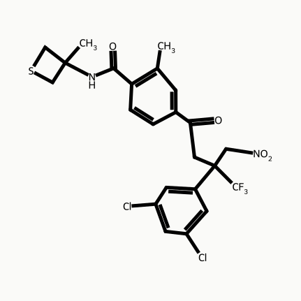 Cc1cc(C(=O)CC(C[N+](=O)[O-])(c2cc(Cl)cc(Cl)c2)C(F)(F)F)ccc1C(=O)NC1(C)CSC1